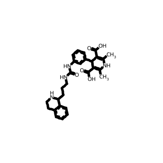 CC1=C(C(=O)O)C(c2cccc(NC(=O)NCCCC3NCCc4ccccc43)c2)C(C(=O)O)=C(C)N1